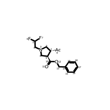 CC(=O)[C@H]1CN(CC(F)F)C[C@@H]1C(=O)OCc1ccccc1